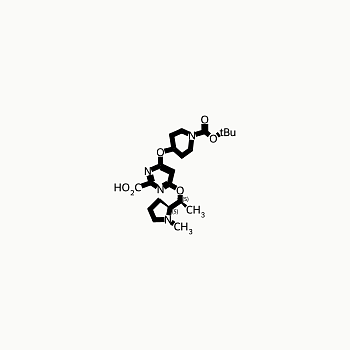 C[C@H](Oc1cc(OC2CCN(C(=O)OC(C)(C)C)CC2)nc(C(=O)O)n1)[C@@H]1CCCN1C